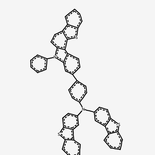 c1ccc(-n2c3cc(-c4ccc(N(c5ccc6sc7ccccc7c6c5)c5ccc6sc7ccccc7c6c5)cc4)ccc3c3c4sc5ccccc5c4ccc32)cc1